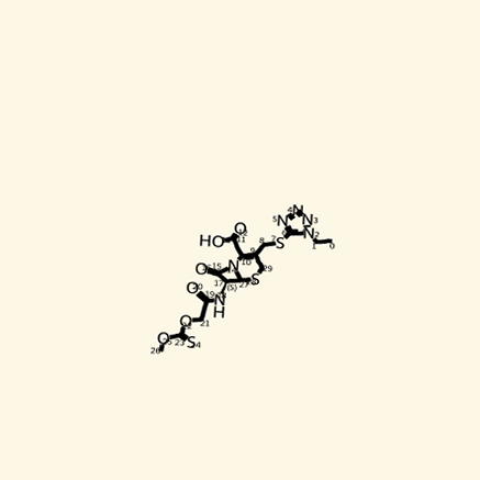 CCn1nnnc1SCC1=C(C(=O)O)N2C(=O)[C@H](NC(=O)COC(=S)OC)C2SC1